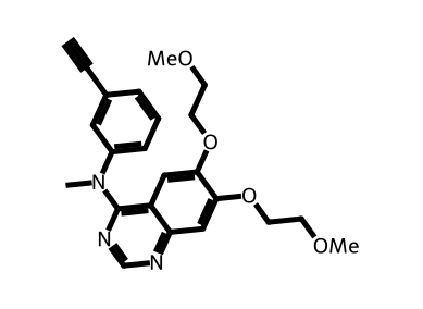 C#Cc1cccc(N(C)c2ncnc3cc(OCCOC)c(OCCOC)cc23)c1